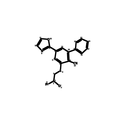 CC(C)[S+]([O-])CSc1nc(-c2ncco2)cc(-c2ccccc2)c1C#N